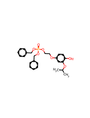 CC(C)Oc1cc(OCCOP(=O)(OCc2ccccc2)OCc2ccccc2)ccc1O